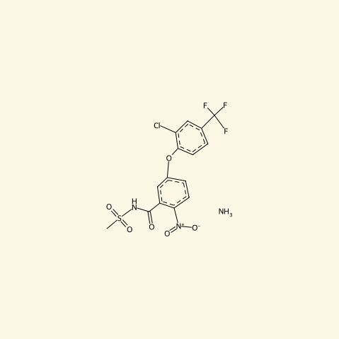 CS(=O)(=O)NC(=O)c1cc(Oc2ccc(C(F)(F)F)cc2Cl)ccc1[N+](=O)[O-].N